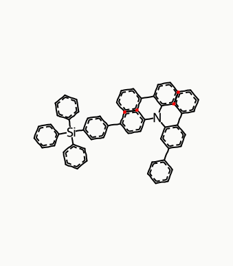 c1ccc(-c2ccc(-c3ccccc3)c(N(c3ccc(-c4ccc([Si](c5ccccc5)(c5ccccc5)c5ccccc5)cc4)cc3)c3ccccc3-c3ccccc3)c2)cc1